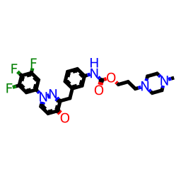 CN1CCN(CCCOC(=O)Nc2cccc(Cc3nn(-c4cc(F)c(F)c(F)c4)ccc3=O)c2)CC1